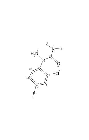 CN(C)C(=O)C(N)c1ccc(F)cc1.Cl